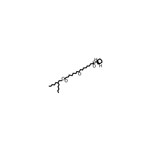 CCCCCC(CCCCC)CCOC(=O)CCCCCCCC(=O)CCCCCCCC(=O)OC1C[C@@H]2CCC[C@H]1C2